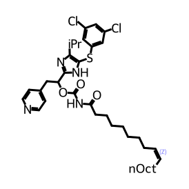 CCCCCCCC/C=C\CCCCCCCC(=O)NC(=O)OC(Cc1ccncc1)c1nc(C(C)C)c(Sc2cc(Cl)cc(Cl)c2)[nH]1